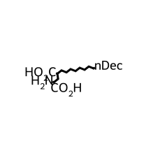 CCCCCCCCCCCCCCCCCCC(C[C@@H](N)C(=O)O)C(=O)O